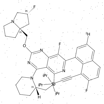 [2H]c1cc(-c2nc3c4c(nc(OC[C@@]56CCCN5C[C@H](F)C6)nc4c2F)N2CCCC[C@H]2CO3)c2c(C#C[Si](C(C)C)(C(C)C)C(C)C)c(F)ccc2c1